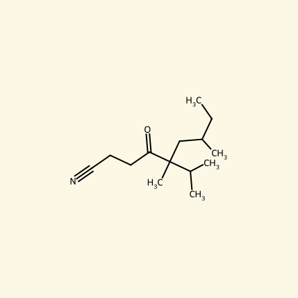 CCC(C)CC(C)(C(=O)CCC#N)C(C)C